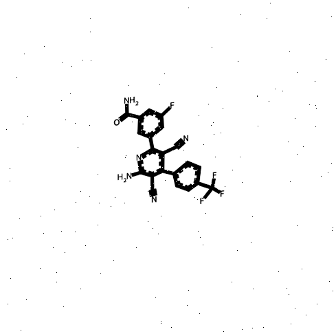 N#Cc1c(N)nc(-c2cc(F)cc(C(N)=O)c2)c(C#N)c1-c1ccc(C(F)(F)F)cc1